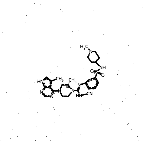 Cc1c[nH]c2ncnc(N3CCN(C(=Nc4cccc(S(=O)(=O)NC5CCN(C)CC5)c4)NC#N)[C@@H](C)C3)c12